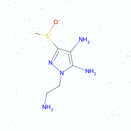 C[S+]([O-])c1nn(CCN)c(N)c1N